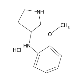 COc1ccccc1NC1CCNC1.Cl